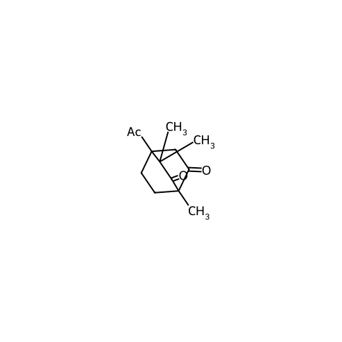 CC(=O)C12CCC(C)(C(=O)C1)C(=O)C2(C)C